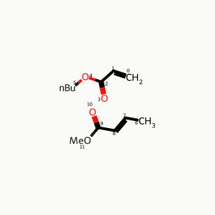 C=CC(=O)OCCCC.CC=CC(=O)OC